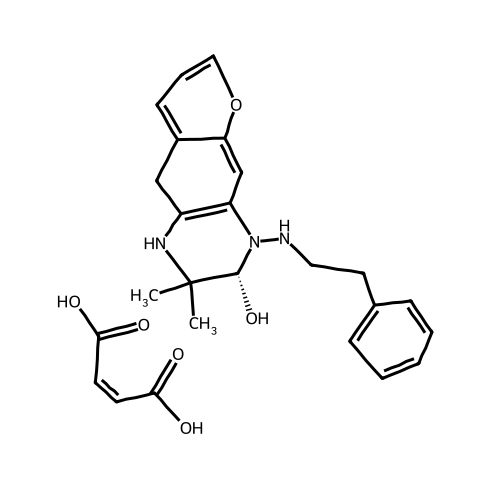 CC1(C)NC2=C(C=C3OC=CC=C3C2)N(NCCc2ccccc2)[C@@H]1O.O=C(O)/C=C\C(=O)O